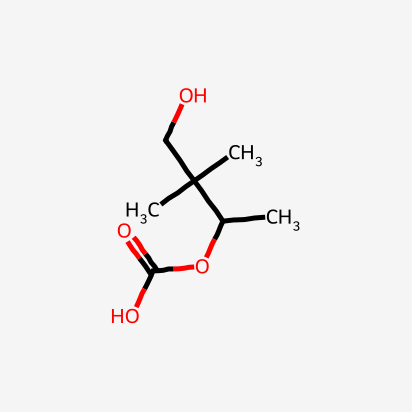 CC(OC(=O)O)C(C)(C)CO